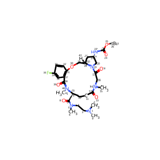 CN(C)CCN(C)C(=O)[C@@H]1CCC(=O)N(C)CC(=O)N2C[C@@H](NC(=O)OC(C)(C)C)C[C@H]2COc2ccc(F)cc2C(=O)N1C